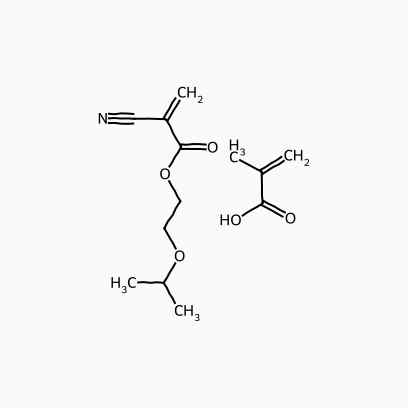 C=C(C#N)C(=O)OCCOC(C)C.C=C(C)C(=O)O